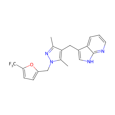 Cc1nn(Cc2ccc(C(F)(F)F)o2)c(C)c1Cc1c[nH]c2ncccc12